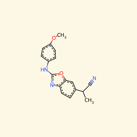 COc1ccc(Nc2nc3ccc(C(C)C#N)cc3o2)cc1